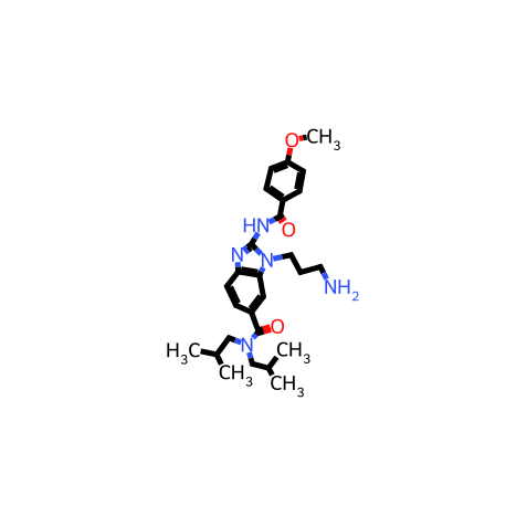 COc1ccc(C(=O)Nc2nc3ccc(C(=O)N(CC(C)C)CC(C)C)cc3n2CCCN)cc1